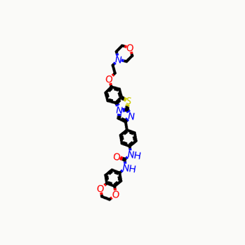 O=C(Nc1ccc(-c2cn3c(n2)sc2cc(OCCN4CCOCC4)ccc23)cc1)Nc1ccc2c(c1)OCCO2